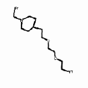 CC(C)CCOCCOCCC1CCN(CC(C)C)CC1